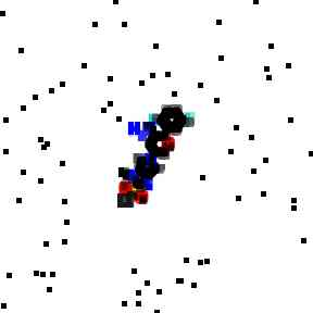 CCS(=O)(=O)c1nc2c(n1C)CN([C@H]1CO[C@H](c3cc(F)ccc3F)[C@@H](N)C1)C2